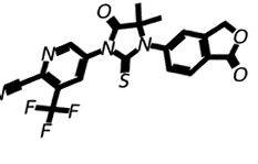 CC1(C)C(=O)N(c2cnc(C#N)c(C(F)(F)F)c2)C(=S)N1c1ccc2c(c1)COC2=O